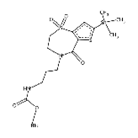 CC(C)(C)OC(=O)NCCCN1CCS(=O)(=O)c2c[c]([Sn]([CH3])([CH3])[CH3])sc2C1=O